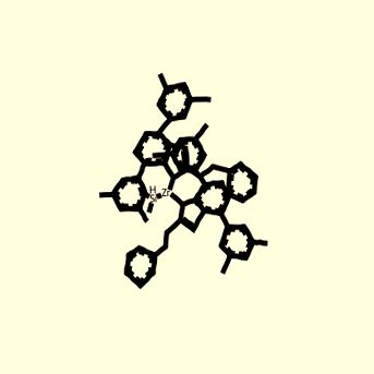 Cc1cc(C)cc(-c2ccc(-c3cc(C)cc(C)c3)c3c2C=C(CCc2ccccc2)[CH]3[Zr]([CH]2C(CCc3ccccc3)=Cc3c(-c4cc(C)cc(C)c4)ccc(-c4cc(C)cc(C)c4)c32)[SiH](C)C)c1